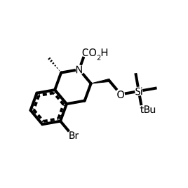 C[C@H]1c2cccc(Br)c2C[C@H](CO[Si](C)(C)C(C)(C)C)N1C(=O)O